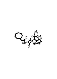 CC1(C)SC2C(NC(=O)CC3=CCCCCC3)C(=O)N2C1c1nnn[nH]1